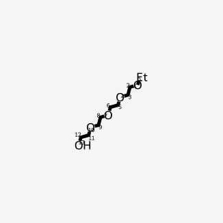 CCOCCOCCOCCOCCO